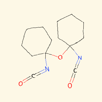 O=C=NC1(OC2(N=C=O)CCCCC2)CCCCC1